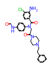 Nc1cc(C(=O)N(CC(=O)N2CCN(CCc3ccccc3)CC2)c2ccc(NC=O)cc2)ccc1Cl